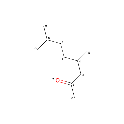 CC(=O)CC(C)CCC(C)C